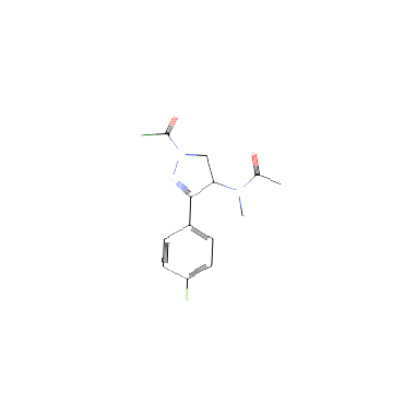 CC(=O)N(C)C1CN(C(=O)Cl)N=C1c1ccc(F)cc1